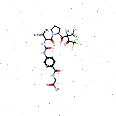 CC(C)[C@H](NC(=O)Nc1ccc(C(=O)NCC(=O)O)cc1)C(=O)N1CCC[C@H]1C(=O)C(N)(C(=O)C(F)(F)F)C(C)C